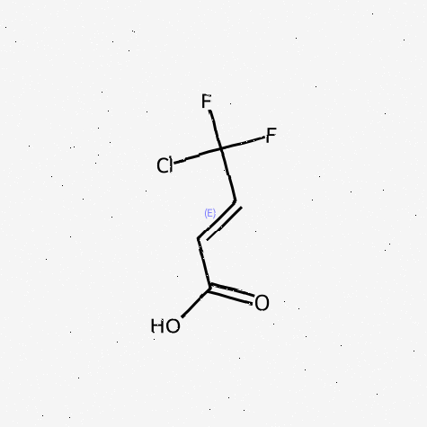 O=C(O)/C=C/C(F)(F)Cl